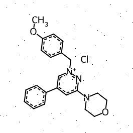 COc1ccc(C[n+]2cc(-c3ccccc3)cc(N3CCOCC3)n2)cc1.[Cl-]